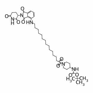 CC(C)(C)OC(=O)NC1CCN(S(=O)(=O)CCCCCCCCCCCCCCNc2cccc3c2C(=O)N(C2CCC(=O)NC2=O)C3=O)CC1